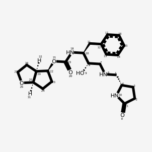 O=C1CC[C@@H](CNC[C@H](O)[C@H](Cc2ccccc2)NC(=O)O[C@H]2CC[C@H]3OCC[C@@H]23)N1